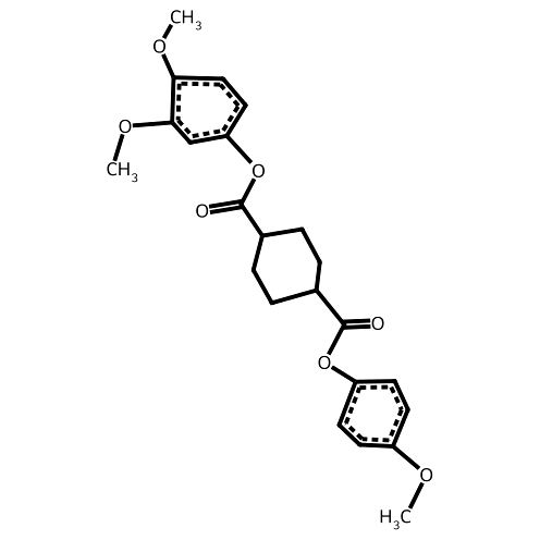 COc1ccc(OC(=O)C2CCC(C(=O)Oc3ccc(OC)c(OC)c3)CC2)cc1